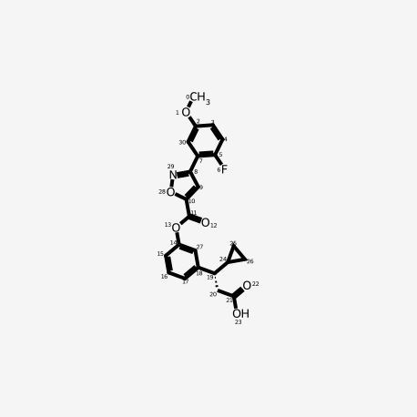 COc1ccc(F)c(-c2cc(C(=O)Oc3cccc([C@@H](CC(=O)O)C4CC4)c3)on2)c1